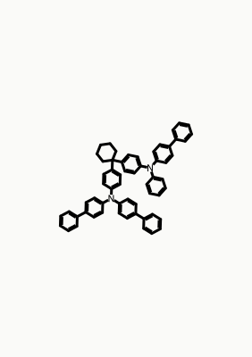 c1ccc(-c2ccc(N(c3ccccc3)c3ccc(C4(c5ccc(N(c6ccc(-c7ccccc7)cc6)c6ccc(-c7ccccc7)cc6)cc5)CCCCC4)cc3)cc2)cc1